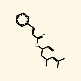 C=CC(CC(C)C=C(C)C)OC(=O)C=Cc1ccccc1